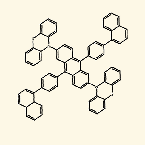 C1=CC2C=CC=C(c3ccc(-c4c5ccc(N6c7ccccc7Sc7ccccc76)cc5c(-c5ccc(-c6cccc7ccccc67)cc5)c5ccc(N6c7ccccc7Sc7ccccc76)cc45)cc3)C2C=C1